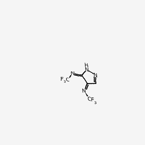 FC(F)(F)/N=C1\C=NN\C1=N\C(F)(F)F